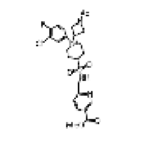 COC(=O)c1ccc(CNS(=O)(=O)C2CC[N+](c3ccc(F)c(Cl)c3)(C3CN(C(C)=O)C3)CC2)nc1